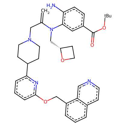 C=C(CN1CCC(c2cccc(OCc3cccc4ccncc34)n2)CC1)N(C[C@@H]1CCO1)c1cc(C(=O)OC(C)(C)C)ccc1N